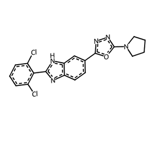 Clc1cccc(Cl)c1-c1nc2ccc(-c3nnc(N4CCCC4)o3)cc2[nH]1